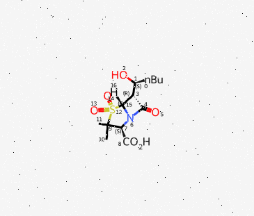 CCCC[C@H](O)[C@@H]1C(=O)N2[C@@H](C(=O)O)C(C)(C)S(=O)(=O)[C@H]12